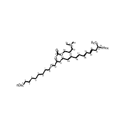 CCCCCCCCCCCCCCCCCCOCC(CCCCCCCCC=CCC(CCCCCC)OC(C)=O)OC(=O)OCCCN(C)C